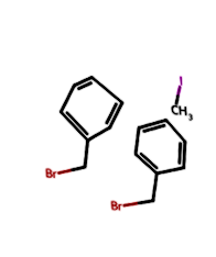 BrCc1ccccc1.BrCc1ccccc1.CI